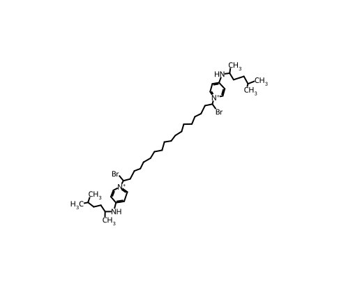 CC(C)CCC(C)Nc1cc[n+](C(Br)CCCCCCCCCCCCCCCCC(Br)[n+]2ccc(NC(C)CCC(C)C)cc2)cc1